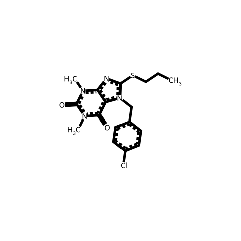 CCCSc1nc2c(c(=O)n(C)c(=O)n2C)n1Cc1ccc(Cl)cc1